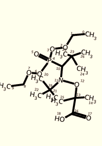 CCOOP(=O)(OOCC)C(N(OC(C)(C)C(=O)O)C(C)(C)C)C(C)(C)C